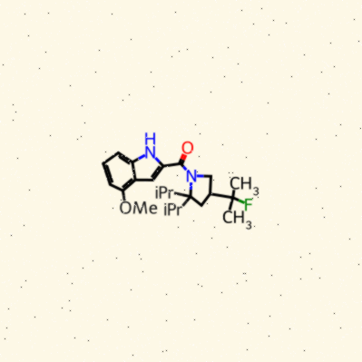 COc1cccc2[nH]c(C(=O)N3CC(C(C)(C)F)CC3(C(C)C)C(C)C)cc12